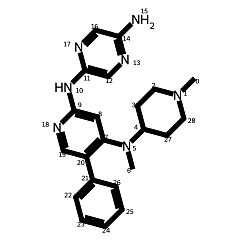 CN1CCC(N(C)c2cc(Nc3cnc(N)cn3)ncc2-c2ccccc2)CC1